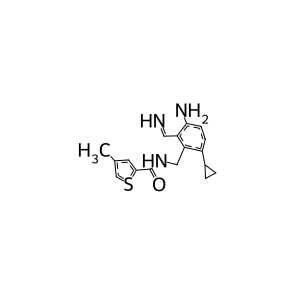 Cc1csc(C(=O)NCc2c(C3CC3)ccc(N)c2C=N)c1